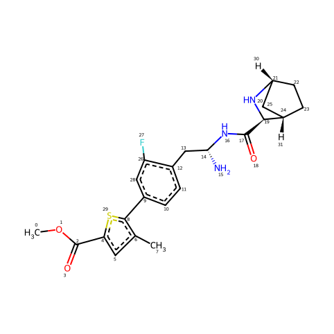 COC(=O)c1cc(C)c(-c2ccc(C[C@@H](N)NC(=O)[C@H]3N[C@@H]4CC[C@H]3C4)c(F)c2)s1